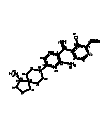 CNc1nccc(C(=N)c2ncc(N3CCC4(CCC[C@H]4N)CC3)nc2N)c1Cl